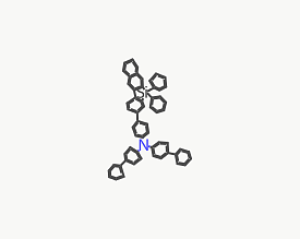 c1ccc(-c2ccc(N(c3ccc(-c4ccccc4)cc3)c3ccc(-c4ccc5c(c4)[Si](c4ccccc4)(c4ccccc4)c4cc6ccccc6cc4-5)cc3)cc2)cc1